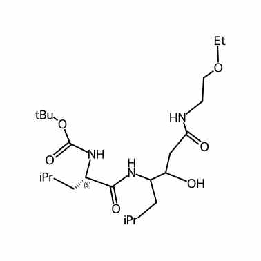 CCOCCNC(=O)CC(O)C(CC(C)C)NC(=O)[C@H](CC(C)C)NC(=O)OC(C)(C)C